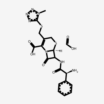 Cn1nnnc1SCC1=C(C(=O)O)N2C(=O)C(NC(=O)[C@@H](N)c3ccccc3)[C@@H]2SC1.O=CO